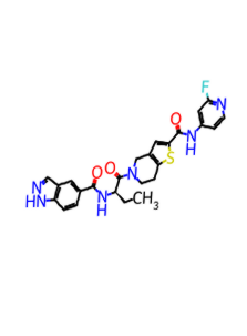 CC[C@@H](NC(=O)c1ccc2[nH]ncc2c1)C(=O)N1CCc2sc(C(=O)Nc3ccnc(F)c3)cc2C1